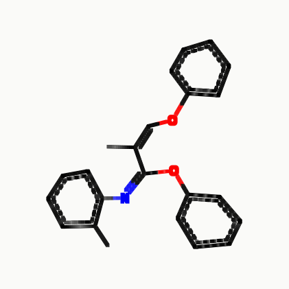 CC(=COc1ccccc1)C(=Nc1ccccc1C)Oc1ccccc1